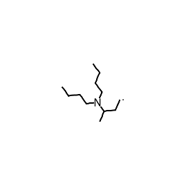 [CH2]CC(C)N(CCCC)CCCC